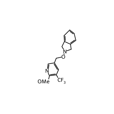 COc1ncc(CON2Cc3ccccc3C2)cc1C(F)(F)F